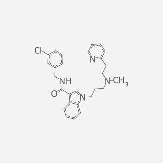 CN(CCCn1cc(C(=O)NCc2cccc(Cl)c2)c2ccccc21)CCc1ccccn1